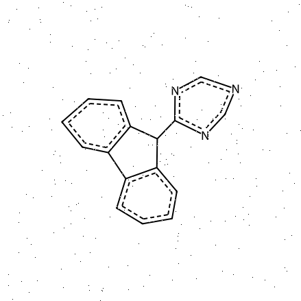 c1ccc2c(c1)-c1ccccc1C2c1ncncn1